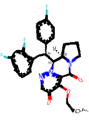 CC(=O)OCOc1c2n(ncc1=O)[C@@H]([C@H](c1ccc(F)cc1)c1cccc(F)c1F)[C@H]1CCCN1C2=O